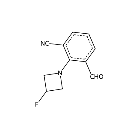 N#Cc1cccc(C=O)c1N1CC(F)C1